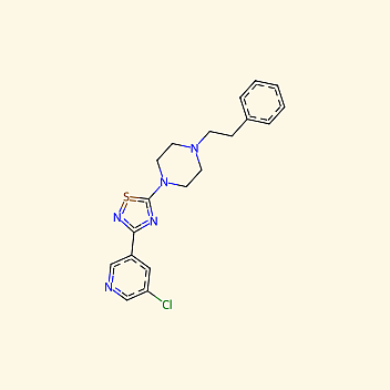 Clc1cncc(-c2nsc(N3CCN(CCc4ccccc4)CC3)n2)c1